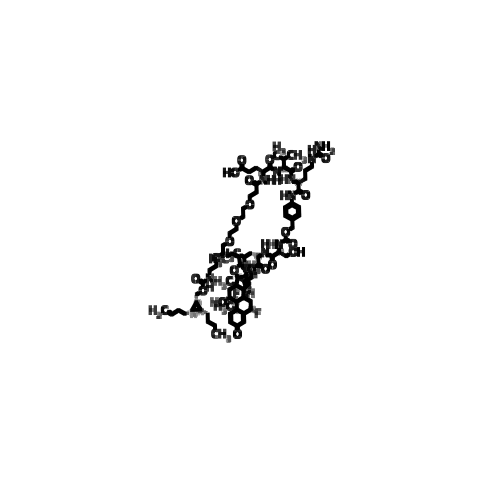 C=CCC[C@H]1[C@@H](CCCC)[C@H]1COC(=O)NCCOCCOCCOCCOCCC(=O)N[C@@H](CCC(=O)O)C(=O)N[C@H](C(=O)N[C@@H](CCCNC(N)=O)C(=O)Nc1ccc(COC(=O)N[C@@H](CO)C(=O)N[C@@H](CC(C)C)C(=O)OCC(=O)[C@@]23OC(CCC)O[C@@H]2CC2[C@@H]4C[C@H](F)C5=CC(=O)C=C[C@]5(C)[C@@]4(F)[C@@H](O)C[C@@]23C)cc1)C(C)C